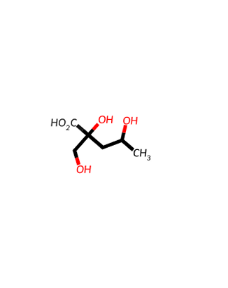 CC(O)CC(O)(CO)C(=O)O